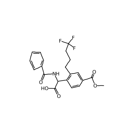 COC(=O)c1ccc(C(NC(=O)c2ccccc2)C(=O)O)c(CCCC(F)(F)F)c1